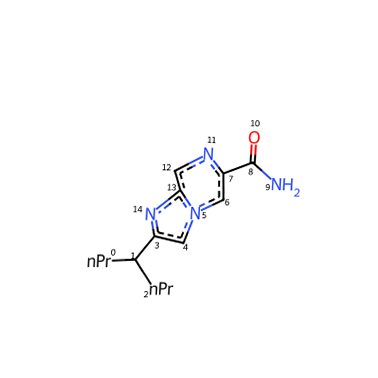 CCCC(CCC)c1cn2cc(C(N)=O)ncc2n1